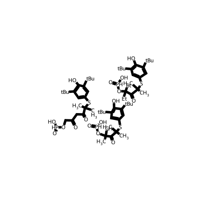 CC(C)(O[PH](=O)O)C(=O)C(C)(C)Sc1cc(C(C)(C)C)c(O)c(C(C)(C)C)c1.CC(C)(Sc1cc(C(C)(C)C)c(O)c(C(C)(C)C)c1)C(=O)CC(=O)CO[PH](=O)O.CCC(CC)(O[PH](=O)O)C(=O)C(C)(C)Sc1cc(C(C)(C)C)c(O)c(C(C)(C)C)c1